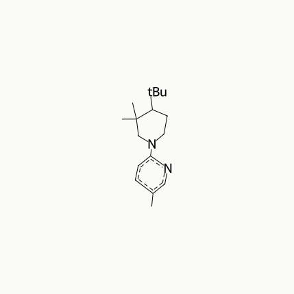 Cc1ccc(N2CCC(C(C)(C)C)C(C)(C)C2)nc1